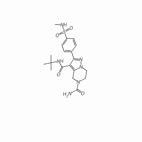 CNS(=O)(=O)c1ccc(-c2nn3c(c2C(=O)NC(C)(C)C)CN(C(N)=O)CC3)cc1